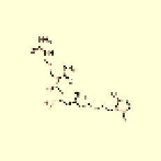 CC(/C=C(\N)CCCCCN1C(=O)C=CC1=O)CC(=O)N(CCCNC(N)=O)C(N)=O